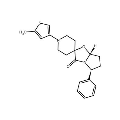 Cc1cc(N2CCC3(CC2)O[C@@H]2CC[C@@H](c4ccccc4)N2C3=O)cs1